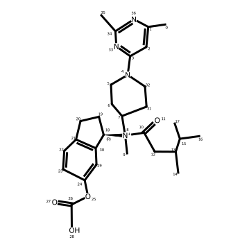 Cc1cc(N2CCC([N+](C)(C(=O)CC(C)C(C)C)[C@@H]3CCc4ccc(OC(=O)O)cc43)CC2)nc(C)n1